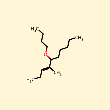 CC/C=C(\C)C(CCCCC)OCCCC